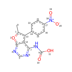 Cc1oc2ncnc(NC(=O)O)c2c1-c1ccc([N+](=O)[O-])cc1